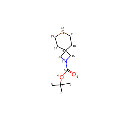 CC(C)(C)OC(=O)N1CC2(CCSCC2)C1